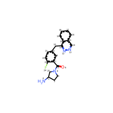 NC1CCN(C(=O)c2cc(Cc3nncc4ccccc34)ccc2F)C1